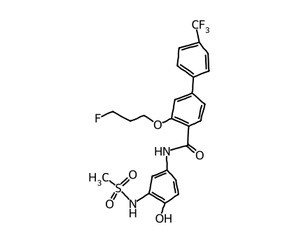 CS(=O)(=O)Nc1cc(NC(=O)c2ccc(-c3ccc(C(F)(F)F)cc3)cc2OCCCF)ccc1O